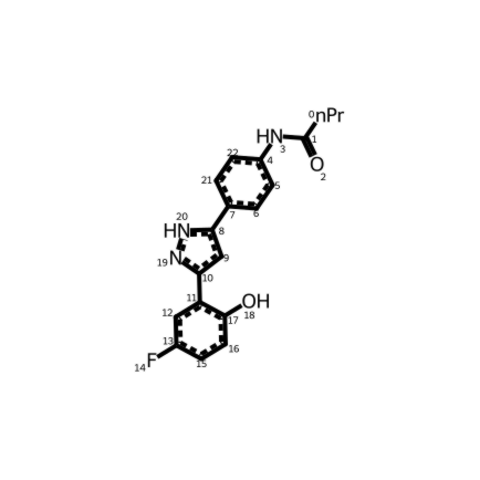 CCCC(=O)Nc1ccc(-c2cc(-c3cc(F)ccc3O)n[nH]2)cc1